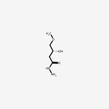 COC[C@H](O)CC(=O)NN